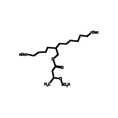 CCCCCCCCCCCCCCCCC(CCCCCCCCCCCCCC)COC(=O)CC(C)OS(=O)(=O)O